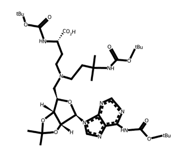 CC(C)(CCN(CC[C@H](NC(=O)OC(C)(C)C)C(=O)O)C[C@H]1O[C@@H](n2cnc3c(NC(=O)OC(C)(C)C)ncnc32)[C@@H]2OC(C)(C)O[C@@H]21)NC(=O)OC(C)(C)C